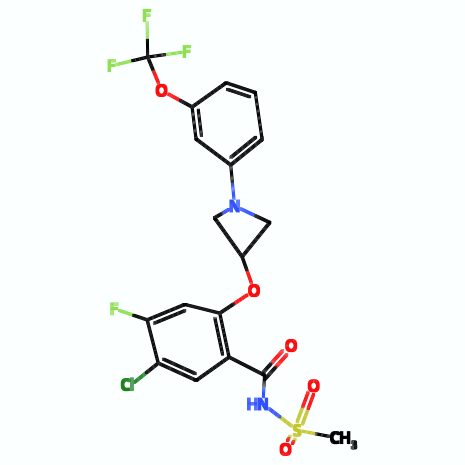 CS(=O)(=O)NC(=O)c1cc(Cl)c(F)cc1OC1CN(c2cccc(OC(F)(F)F)c2)C1